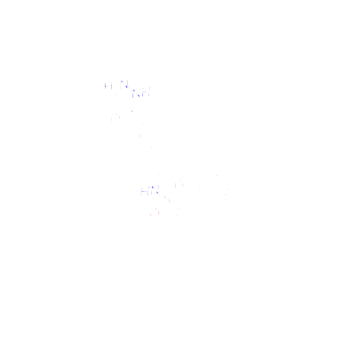 NNC(=O)CCCCCNS(=O)(=O)c1cccc2ccccc12